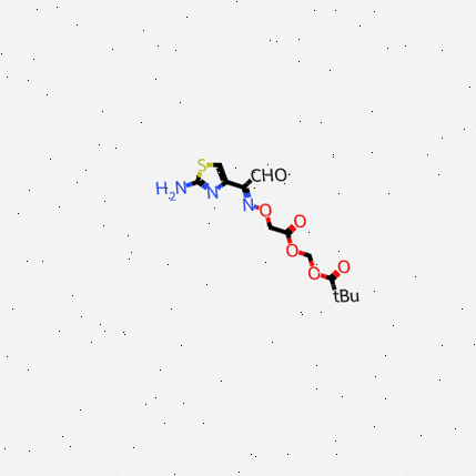 CC(C)(C)C(=O)OCOC(=O)CO/N=C(\[C]=O)c1csc(N)n1